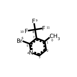 Cc1ccnc(Br)c1C(F)(F)F